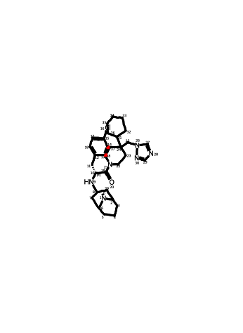 CN1C2CCCC1CC(N[C@H](Cc1ccc(Cl)cc1)C(=O)N1CCC(Cn3cncn3)(C3CCCCC3)CC1)C2